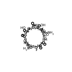 CCCC[C@H]1C(=O)N(C)CC(=O)N[C@@H](CC(N)=O)C(=O)N[C@@H](C(C)C)C(=O)N(C)[C@@H](Cc2ccccc2)C(=O)N[C@@H](Cc2ccc(O)cc2)C(=O)N(C)CC(=O)N[C@@H](Cc2c[nH]c3ccccc23)C(=O)N[C@@H](Cc2ccc(O)cc2)C(=O)N[C@@H](CC(C)C)C(=O)N[C@H](C(=O)NCC(N)=O)CSCC(=O)N[C@@H](Cc2ccccc2)C(=O)N(C)[C@@H](Cc2ccccc2)C(=O)N1C